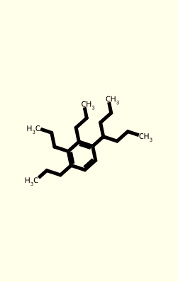 CCC[C](CCC)c1ccc(CCC)c(CCC)c1CCC